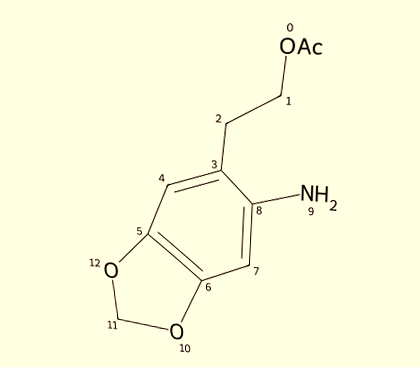 CC(=O)OCCc1cc2c(cc1N)OCO2